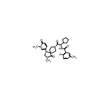 Cc1ccc(F)c(C(=O)N[C@@H](C(=O)N2CCC3(CC2)C(=O)N(C)CN3c2ccc(=O)n(C)c2)C2CCCC2)c1